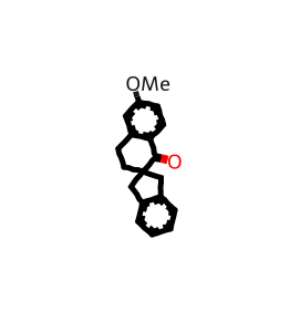 COc1ccc2c(c1)CCC1(Cc3ccccc3C1)C2=O